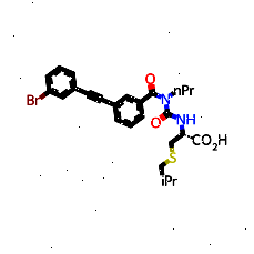 CCCN(C(=O)N[C@@H](CSCC(C)C)C(=O)O)C(=O)c1cccc(C#Cc2cccc(Br)c2)c1